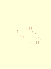 NC1=CC(CCc2cc(Nc3nc(Cl)ncc3F)ccc2N)CN=C1